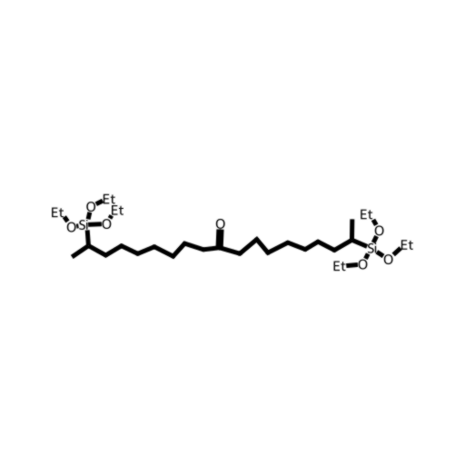 CCO[Si](OCC)(OCC)C(C)CCCCCCCC(=O)CCCCCCCC(C)[Si](OCC)(OCC)OCC